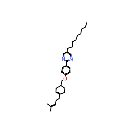 CCCCCCCCCc1cnc(-c2ccc(OCC3CC=C(CCC=C(C)C)CC3)cc2)nc1